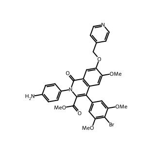 COC(=O)c1c(-c2cc(OC)c(Br)c(OC)c2)c2cc(OC)c(OCc3ccncc3)cc2c(=O)n1-c1ccc(N)cc1